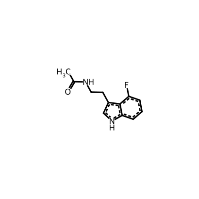 CC(=O)NCCc1c[nH]c2cccc(F)c12